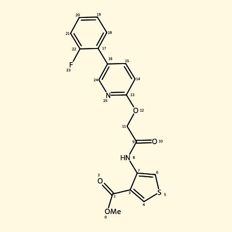 COC(=O)c1cscc1NC(=O)COc1ccc(-c2ccccc2F)cn1